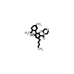 C=C(C)C1CCC(C)=CC1c1c(O)cc(CCCCC)c(C(=O)N2CCOCC2)c1O